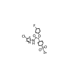 O=C(Nc1n[c]c(Cl)s1)C(Oc1ccc(F)cc1)c1ccc(S(=O)(=O)C2CC2)cc1